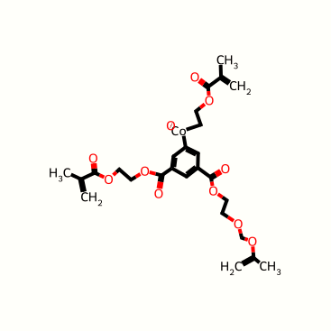 C=C(C)OCOCCOC(=O)c1cc(C(=O)OCCOC(=O)C(=C)C)c[c]([Co](=[O])[CH2]COC(=O)C(=C)C)c1